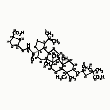 C=C(C)C1CC[C@]2(C(=O)NCC3=CCC(C(=O)O)S3)CC[C@]3(C)C(CCC4C5(C)CCC(OC(=O)CC(C)(C)C(=O)O)C(C)(C)C5CCC43C)C12